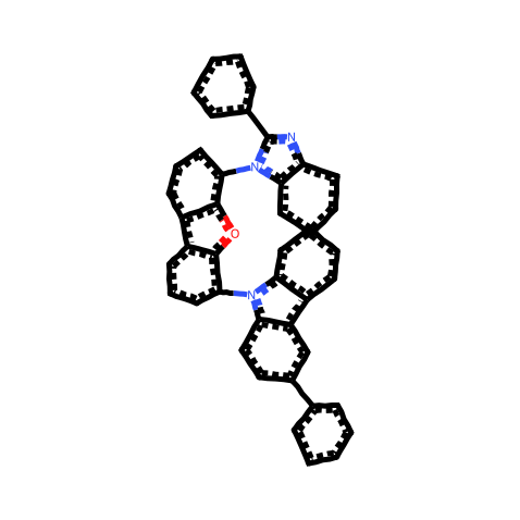 c1ccc(-c2ccc3c(c2)c2ccccc2n3-c2cccc3c2oc2c(-n4c(-c5ccccc5)nc5ccccc54)cccc23)cc1